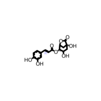 O=C(/C=C/c1ccc(O)c(O)c1)O[C@@H]1C(O)C[C@]2(O)CC1OC2=O